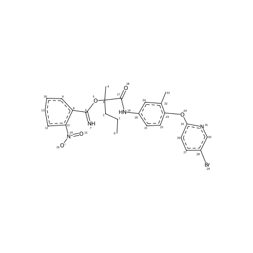 CCCC(C)(OC(=N)c1ccccc1[N+](=O)[O-])C(=O)Nc1ccc(Oc2ccc(Br)cn2)c(C)c1